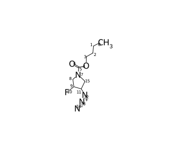 CCCCOC(=O)N1CC(F)C(N=[N+]=[N-])C1